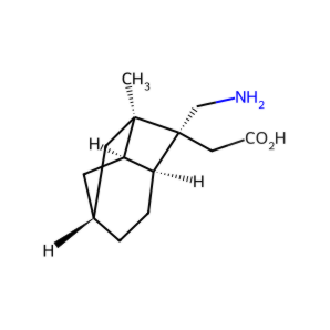 C[C@@]12C[C@@H]3CC[C@@H]([C@H]1C3)[C@]2(CN)CC(=O)O